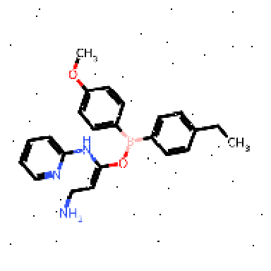 CCc1ccc(B(O/C(=C/CN)Nc2ccccn2)c2ccc(OC)cc2)cc1